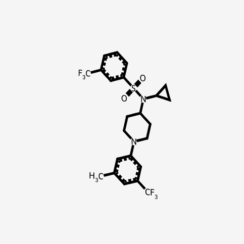 Cc1cc(N2CCC(N(C3CC3)S(=O)(=O)c3cccc(C(F)(F)F)c3)CC2)cc(C(F)(F)F)c1